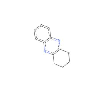 [C]1CCCc2nc3ccccc3nc21